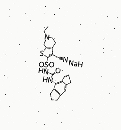 CCN1CCc2c(sc(S(=O)(=O)NC(=O)Nc3c4c(cc5c3CCC5)CCC4)c2C#N)C1.[NaH]